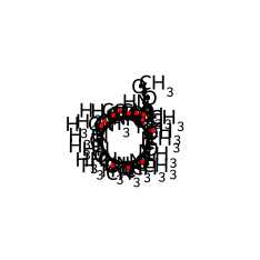 CC[C@H]1NC(=O)C([C@@H](O)[C@@H](C)C/C=C(/C)c2ccc(NC(=O)CCC(C)=O)cc2)N(C)C(=O)[C@@H](C(C)C)N(C)C(=O)[C@@H](CC(C)C)N(C)C(=O)[C@@H](CC(C)C)N(C)C(=O)[C@@H](C)NC(=O)[C@@H](C)NC(=O)[C@@H](CC(C)C)N(C)C(=O)[C@@H](C(C)C)NC(=O)[C@@H](CC(C)C)N(C)C(=O)CN(C)C1=O